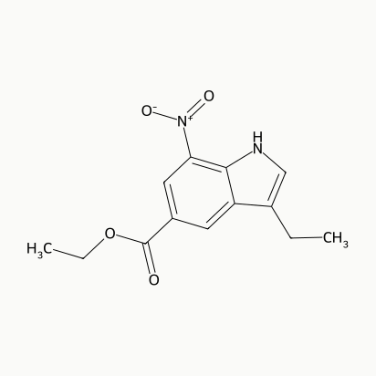 CCOC(=O)c1cc([N+](=O)[O-])c2[nH]cc(CC)c2c1